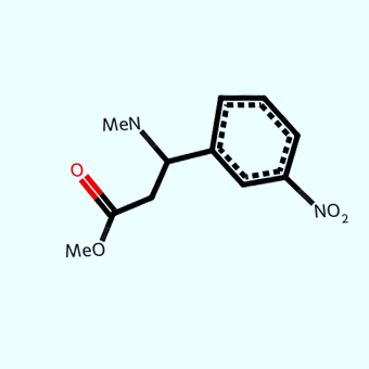 CNC(CC(=O)OC)c1cccc([N+](=O)[O-])c1